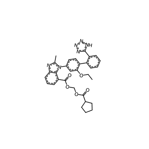 CCOc1cc(-n2c(C)nc3cccc(C(=O)OCOC(=O)C4CCCC4)c32)ccc1-c1ccccc1-c1nnn[nH]1